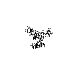 CC(C)C[C@H](CC(=O)NO)C(=O)NC(C(=O)N(C)C1Cc2ccccc2C1)c1ccc(-c2ccccc2)cc1